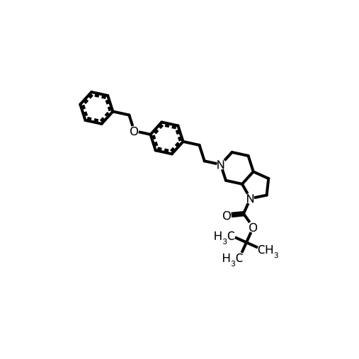 CC(C)(C)OC(=O)N1CCC2CCN(CCc3ccc(OCc4ccccc4)cc3)CC21